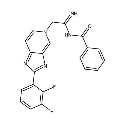 N=C(Cn1ccc2nc(-c3cccc(F)c3F)nc-2c1)NC(=O)c1ccccc1